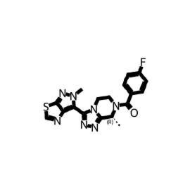 C[C@@H]1c2nnc(-c3c4ncsc4nn3C)n2CCN1C(=O)c1ccc(F)cc1